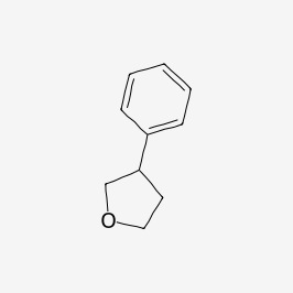 c1ccc(C2CCOC2)cc1